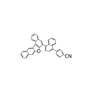 N#Cc1ccc(-c2ccc(-c3cc4ccccc4c4c3oc3cc5ccccc5cc34)c3ccccc23)cc1